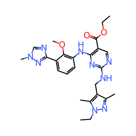 CCOC(=O)c1cnc(NCc2c(C)nn(CC)c2C)nc1Nc1cccc(-c2ncn(C)n2)c1OC